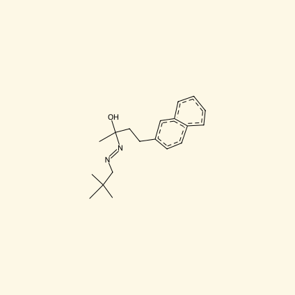 CC(C)(C)CN=NC(C)(O)CCc1ccc2ccccc2c1